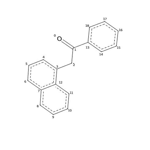 O=C([CH]c1cccc2ccccc12)c1ccccc1